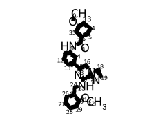 COc1cccc(C(=O)Nc2cccc(-c3cn4ccnc4c(NCc4ccccc4OC)n3)c2)c1